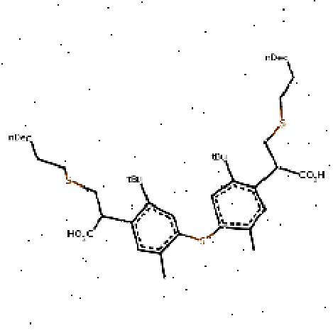 CCCCCCCCCCCCSCC(C(=O)O)c1cc(C)c(Sc2cc(C(C)(C)C)c(C(CSCCCCCCCCCCCC)C(=O)O)cc2C)cc1C(C)(C)C